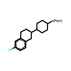 CCCCCC1CCC(C2CCc3cc(F)ccc3C2)CC1